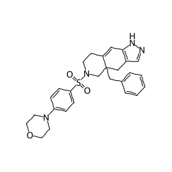 O=S(=O)(c1ccc(N2CCOCC2)cc1)N1CCC2=Cc3[nH]ncc3CC2(Cc2ccccc2)C1